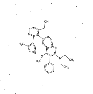 CCN(CC)c1nc2ccc(-c3c(CO)ccnc3-c3cncn3C)cc2c(OC)c1-c1ccccc1